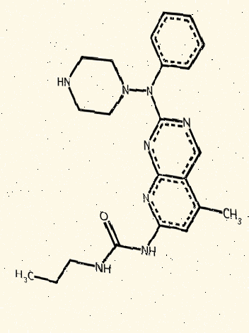 CCCNC(=O)Nc1cc(C)c2cnc(N(c3ccccc3)N3CCNCC3)nc2n1